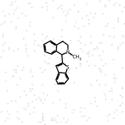 CN1CCc2ccccc2C1c1cc2ccccc2s1